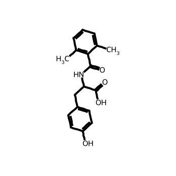 Cc1cccc(C)c1C(=O)NC(Cc1ccc(O)cc1)C(=O)O